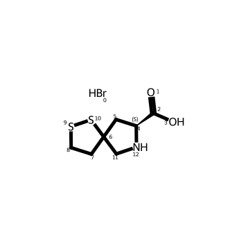 Br.O=C(O)[C@@H]1CC2(CCSS2)CN1